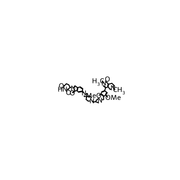 COc1cc(-c2cn(C)c(=O)c3c2CN(C)CC3)cc(OC)c1CN1CC(CN2CCC3(CC2)CN(c2ccc4c(c2)C(=O)N(C2CCC(=O)NC2=O)C4)C3)C1